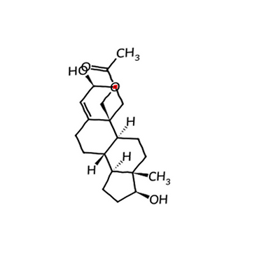 CC(=O)OC[C@]12CC[C@H](O)C=C1CC[C@@H]1[C@@H]2CC[C@]2(C)[C@@H](O)CC[C@@H]12